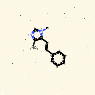 Cn1cnc([N+](=O)[O-])c1/C=C/c1ccccc1